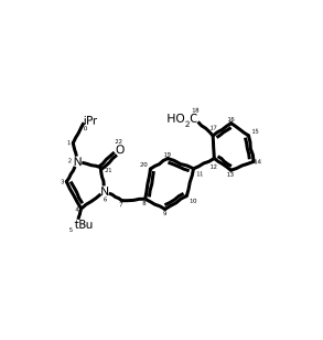 CC(C)Cn1cc(C(C)(C)C)n(Cc2ccc(-c3ccccc3C(=O)O)cc2)c1=O